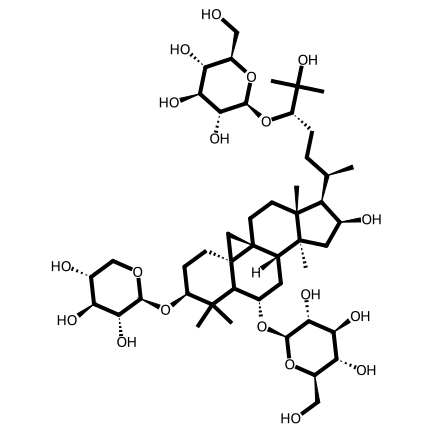 C[C@H](CC[C@H](O[C@@H]1O[C@H](CO)[C@@H](O)[C@H](O)[C@H]1O)C(C)(C)O)[C@H]1[C@@H](O)C[C@@]2(C)[C@@H]3C[C@H](O[C@@H]4O[C@H](CO)[C@@H](O)[C@H](O)[C@H]4O)C4C(C)(C)[C@@H](O[C@@H]5OC[C@@H](O)[C@H](O)[C@H]5O)CC[C@@]45C[C@@]35CC[C@]12C